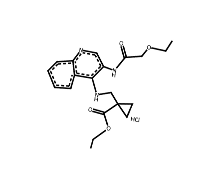 CCOCC(=O)Nc1cnc2ccccc2c1NCC1(C(=O)OCC)CC1.Cl